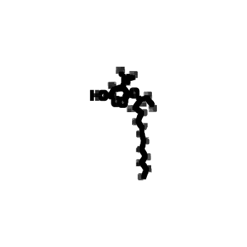 CCCCCCCCCCCC(CC)OC(=O)/C(=C\C(=O)O)N(C)C